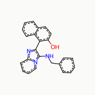 Oc1ccc2ccccc2c1-c1nc2ccccn2c1NCc1ccccc1